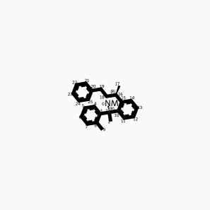 CN[C@](C)(c1ccccc1C)c1ccccc1[C@H](C)CCc1ccccc1